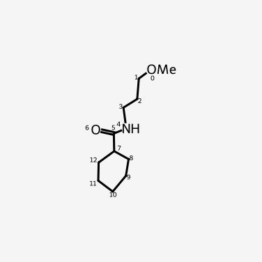 COCCCNC(=O)C1CCCCC1